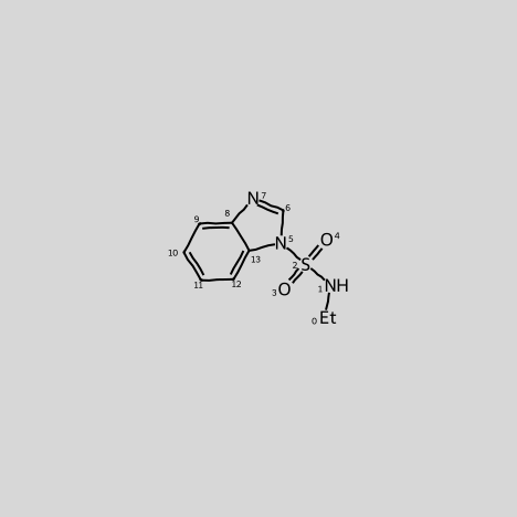 CCNS(=O)(=O)n1cnc2ccccc21